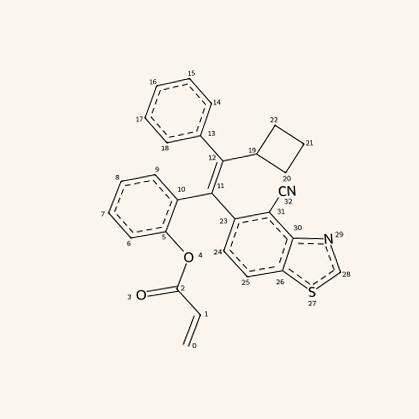 C=CC(=O)Oc1ccccc1/C(=C(\c1ccccc1)C1CCC1)c1ccc2scnc2c1C#N